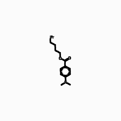 CC(C)CCCCOC(=O)c1ccc(N(C)C)cc1